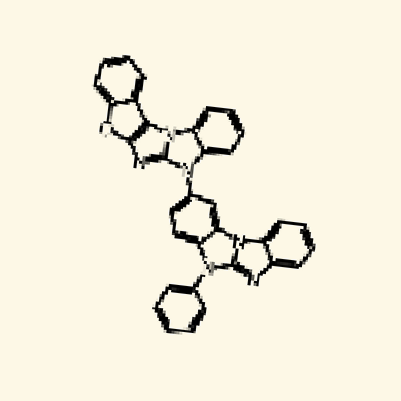 c1ccc(-n2c3ccc(-n4c5ccccc5n5c6c(nc45)oc4ccccc46)cc3n3c4ccccc4nc23)cc1